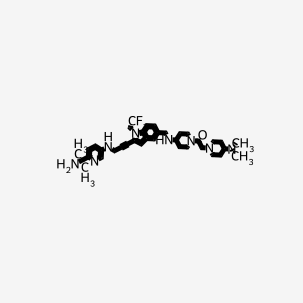 CN(C)C1CCN(CC(=O)N2CCC(NCc3ccc4c(c3)cc(C#CCNc3ccc(C(C)(C)N)nc3)n4CC(F)(F)F)CC2)CC1